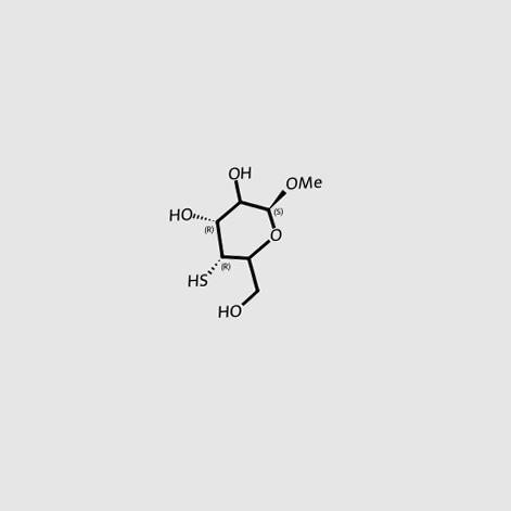 CO[C@H]1OC(CO)[C@H](S)[C@H](O)C1O